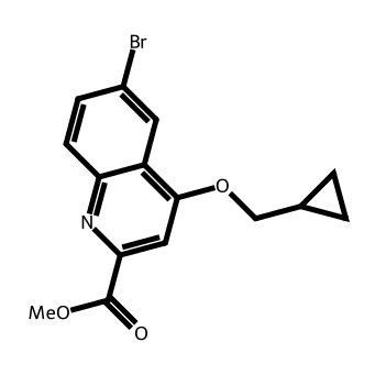 COC(=O)c1cc(OCC2CC2)c2cc(Br)ccc2n1